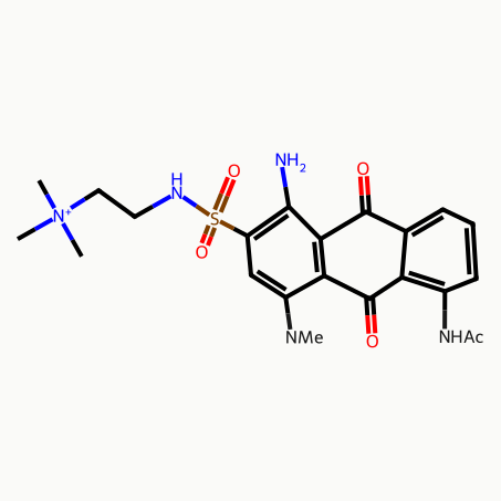 CNc1cc(S(=O)(=O)NCC[N+](C)(C)C)c(N)c2c1C(=O)c1c(NC(C)=O)cccc1C2=O